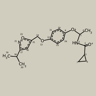 CC(NC(=O)C1CC1)Oc1ccc(OCc2cc(C(C)C)no2)cc1